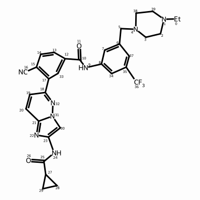 CCN1CCN(Cc2cc(NC(=O)c3ccc(C#N)c(-c4ccc5nc(NC(=O)C6CC6)cn5n4)c3)cc(C(F)(F)F)c2)CC1